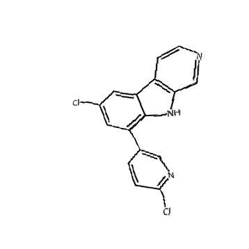 Clc1cc(-c2ccc(Cl)nc2)c2[nH]c3cnccc3c2c1